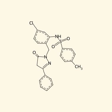 Cc1ccc(S(=O)(=O)Nc2cc(Cl)ccc2CN2N=C(c3ccccc3)CC2=O)cc1